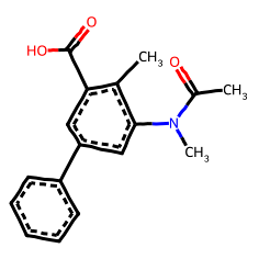 CC(=O)N(C)c1cc(-c2ccccc2)cc(C(=O)O)c1C